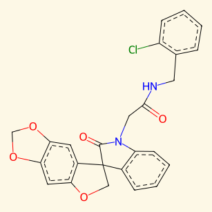 O=C(CN1C(=O)C2(COc3cc4c(cc32)OCO4)c2ccccc21)NCc1ccccc1Cl